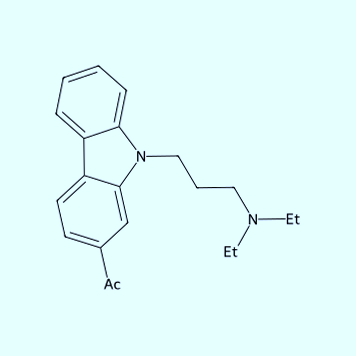 CCN(CC)CCCn1c2ccccc2c2ccc(C(C)=O)cc21